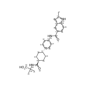 Cc1nc2cc(C(=O)Nc3ccc([C@H]4CC[C@H](C(=O)NC(C)(C)C(=O)O)CC4)cc3)ccc2[nH]1